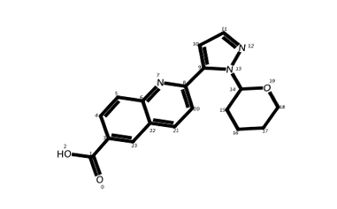 O=C(O)c1ccc2nc(-c3ccnn3C3CCCCO3)ccc2c1